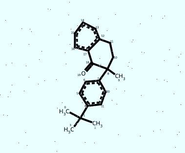 CC(C)(C)c1ccc(C2(C)CCc3ccccc3C2=O)cc1